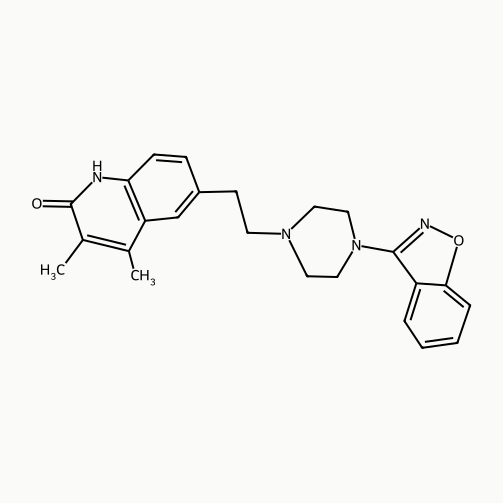 Cc1c(C)c2cc(CCN3CCN(c4noc5ccccc45)CC3)ccc2[nH]c1=O